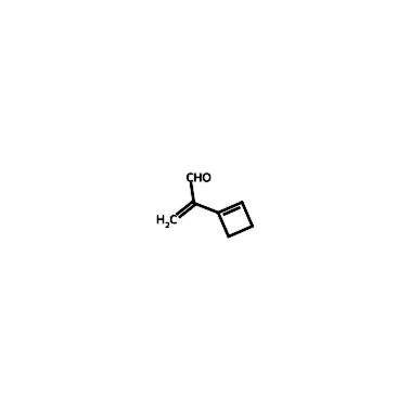 C=C(C=O)C1=CCC1